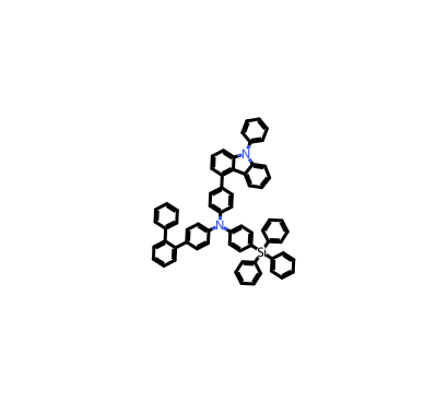 c1ccc(-c2ccccc2-c2ccc(N(c3ccc(-c4cccc5c4c4ccccc4n5-c4ccccc4)cc3)c3ccc([Si](c4ccccc4)(c4ccccc4)c4ccccc4)cc3)cc2)cc1